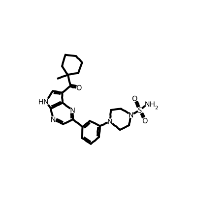 CC1(C(=O)c2c[nH]c3ncc(-c4cccc(N5CCN(S(N)(=O)=O)CC5)c4)nc23)CCCCC1